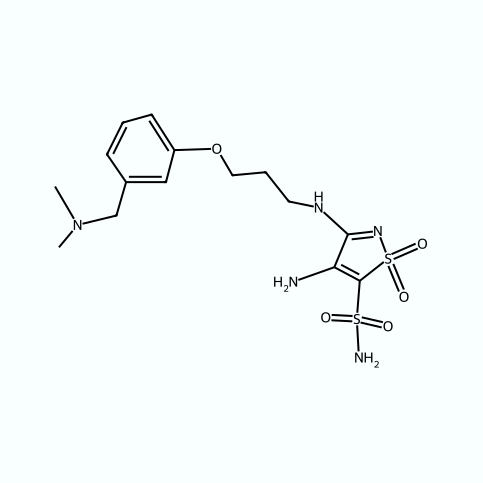 CN(C)Cc1cccc(OCCCNC2=NS(=O)(=O)C(S(N)(=O)=O)=C2N)c1